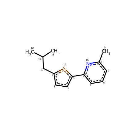 Cc1cccc(-c2ccc(CC(C)C)s2)n1